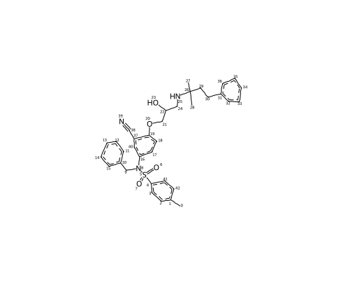 Cc1ccc(S(=O)(=O)N(Cc2ccccc2)c2ccc(OCC(O)CNC(C)(C)CCc3ccccc3)c(C#N)c2)cc1